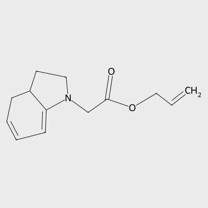 C=CCOC(=O)CN1CCC2CC=CC=C21